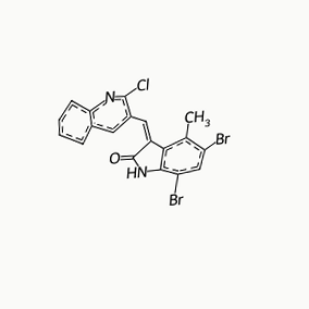 Cc1c(Br)cc(Br)c2c1C(=Cc1cc3ccccc3nc1Cl)C(=O)N2